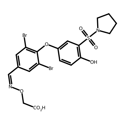 O=C(O)CO/N=C\c1cc(Br)c(Oc2ccc(O)c(S(=O)(=O)N3CCCC3)c2)c(Br)c1